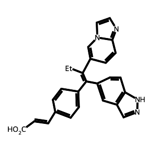 CCC(=C(c1ccc(C=CC(=O)O)cc1)c1ccc2[nH]ncc2c1)c1ccc2nccn2c1